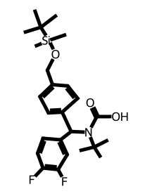 CC(C)(C)N(C(=O)O)C(c1ccc(CO[Si](C)(C)C(C)(C)C)cc1)c1ccc(F)c(F)c1